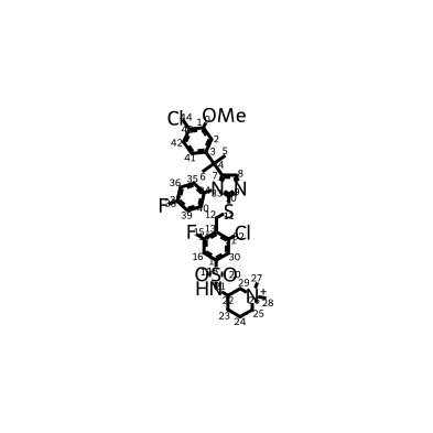 COc1cc(C(C)(C)c2cnc(SCc3c(F)cc(S(=O)(=O)NC4CCC[N+](C)(C)C4)cc3Cl)n2-c2ccc(F)cc2)ccc1Cl